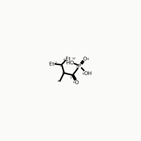 CCC(CC)C(C)C(=O)P(=O)(O)O